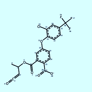 CC(C=C=O)OC(=O)c1cc(Oc2ccc(C(F)(F)F)cc2Cl)ccc1[N+](=O)[O-]